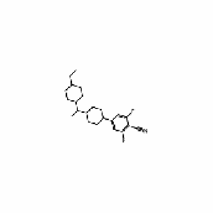 CCC1CCC(C(C)C2CCC(c3cc(F)c(C#N)c(F)c3)CC2)CC1